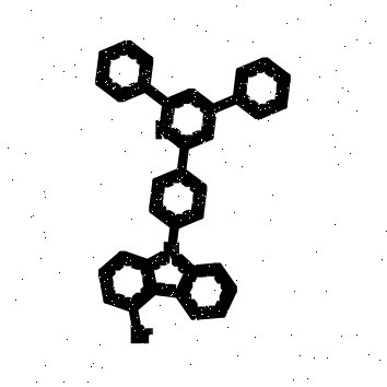 Brc1cccc2c1c1ccccc1n2-c1ccc(-c2cc(-c3ccccc3)cc(-c3ccccc3)n2)cc1